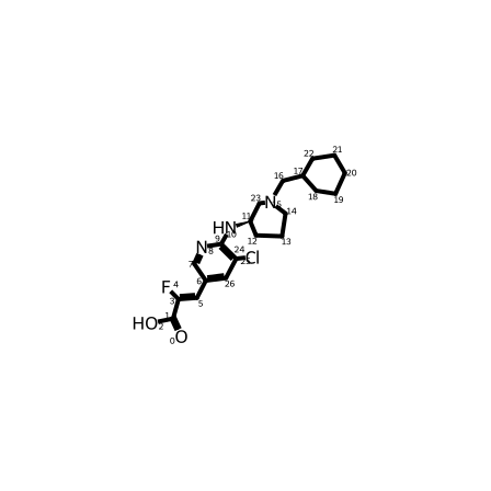 O=C(O)C(F)=Cc1cnc(N[C@@H]2CCCN(CC3CCCCC3)C2)c(Cl)c1